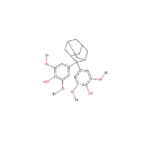 CCOc1cc(C2(c3cc(OCC)c(O)c(OCC)c3)C3CC4CC(C3)CC2C4)cc(OCC)c1O